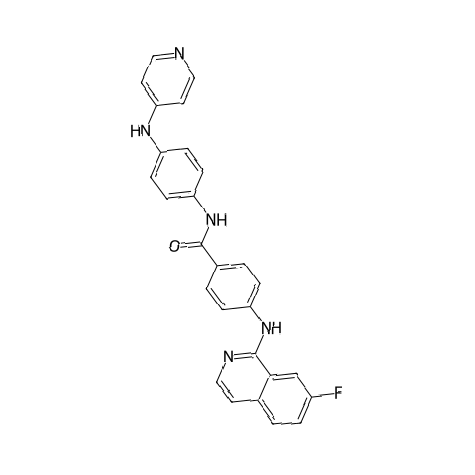 O=C(Nc1ccc(Nc2ccncc2)cc1)c1ccc(Nc2nccc3ccc(F)cc23)cc1